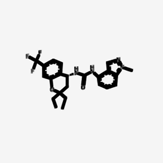 CCC1(CC)C[C@@H](NC(=O)Nc2cccc3c2cnn3C)c2ccc(C(F)(F)F)cc2O1